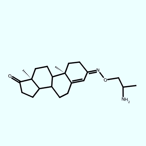 CC(N)CON=C1C=C2CCC3C(CC[C@]4(C)C(=O)CCC34)[C@@]2(C)CC1